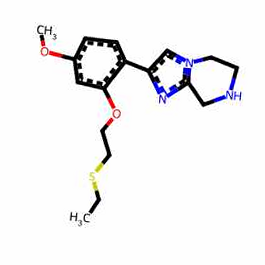 CCSCCOc1cc(OC)ccc1-c1cn2c(n1)CNCC2